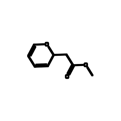 COC(=O)CC1C=CC=CO1